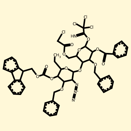 CCC1OC(OC2C(COC(=O)CCl)OC(OC(=N)C(Cl)(Cl)Cl)C(OC(=O)c3ccccc3)C2OCc2ccccc2)C(N=[N+]=[N-])C(OCc2ccccc2)C1OC(=O)OCC1c2ccccc2-c2ccccc21